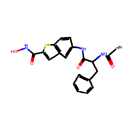 CCCC(=O)NC(Cc1ccccc1)C(=O)Nc1ccc2sc(C(=O)NO)cc2c1